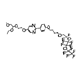 CCOC(COC)OCCOc1cnc(-c2ccc(OCCCCOCC(F)(F)OC(F)(F)C(F)(F)OC(F)(F)C(F)(F)F)cc2)nc1